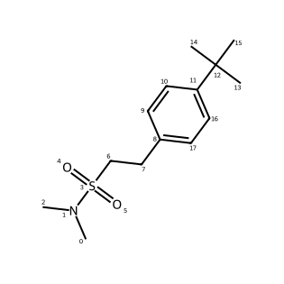 CN(C)S(=O)(=O)CCc1ccc(C(C)(C)C)cc1